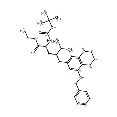 CCOC(=O)[C@H](C[C@H](Cc1cc2c(c(OCc3ccccc3)c1)OCCO2)C(C)C)NC(=O)OC(C)(C)C